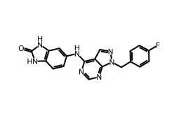 O=c1[nH]c2ccc(Nc3ncnc4c3cnn4Cc3ccc(F)cc3)cc2[nH]1